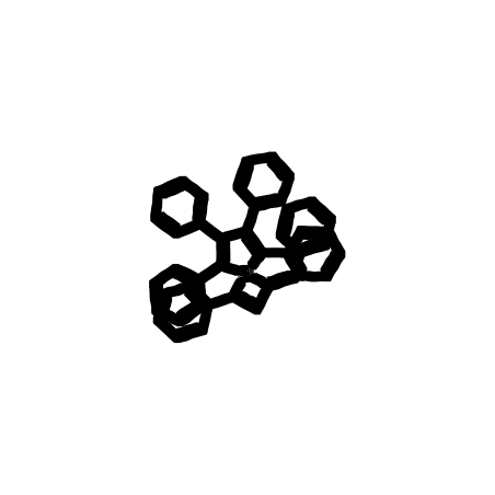 C1=C(c2ccccc2)[Si]2(C(c3ccccc3)=C(c3ccccc3)C(c3ccccc3)=C2c2ccccc2)/C1=C\c1ccccc1